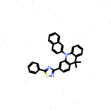 CC1(C)c2ccccc2N(c2ccc3ccccc3c2)c2cc(-c3nsc(-c4ccccc4)n3)ccc21